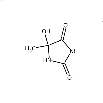 CC1(O)NC(=O)NC1=O